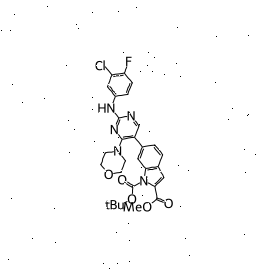 COC(=O)c1cc2ccc(-c3cnc(Nc4ccc(F)c(Cl)c4)nc3N3CCOCC3)cc2n1C(=O)OC(C)(C)C